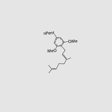 CCCCCc1cc(OC)c(C/C=C(\C)CCC=C(C)C)c(OC)c1